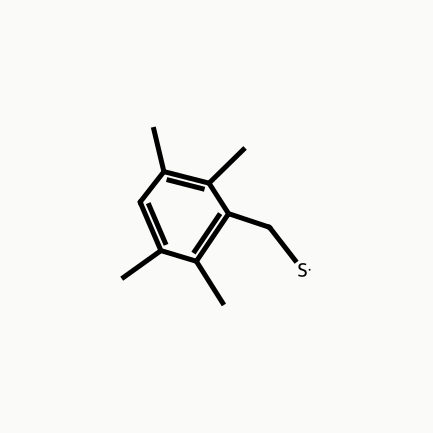 Cc1cc(C)c(C)c(C[S])c1C